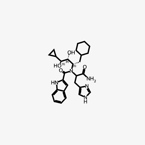 NC(=O)C(Cc1c[nH]cn1)N(C(=O)c1cc2ccccc2[nH]1)[C@@H](CC1CCCCC1)[C@@H](O)[C@@H](O)C1CC1